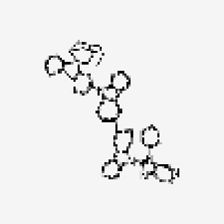 c1ccc(-n2c(-n3c4ccccc4c4cc(-c5ccc6c(c5)c5ccccc5n6-c5ccc6c(c5)C5(c7ccccc7-6)C6CC7CC(C6)CC5C7)ccc43)nc3ccncc32)cc1